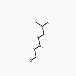 CN(C)CCOCC[O]